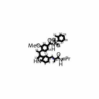 CCCNC(=O)/C(C)=C/c1ccc2[nH]cc(C(C)c3ccc(C(=O)NS(=O)(=O)c4ccccc4C)cc3OC)c2c1